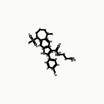 CC1CCCN(S(C)(=O)=O)c2cc3oc(-c4ccc(F)cc4)c(C(=O)NCCN)c3cc21